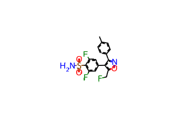 Cc1ccc(-c2noc(CF)c2-c2cc(F)c(S(N)(=O)=O)c(F)c2)cc1